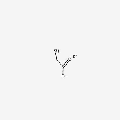 O=C([O-])CS.[K+]